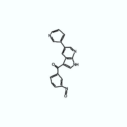 O=Nc1cccc(C(=O)c2c[nH]c3ncc(-c4cccnc4)cc23)c1